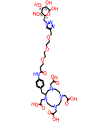 O=C(O)CN1CCN(CC(=O)O)CCN(CC(=O)O)C(Cc2ccc(NC(=O)CCOCCOCCOCc3cn(C[C@@H]4O[C@@H](O)[C@@H](O)[C@@H](O)[C@@H]4O)nn3)cc2)CN(CC(=O)O)CC1